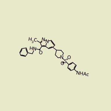 CC(=O)Nc1ccc(S(=O)(=O)N2CCC(c3ccn4nc(C)c(C(=O)NCc5ccccc5)c4c3)CC2)cc1